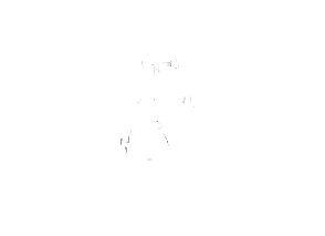 Nc1c([N+](=O)[O-])sc2ncccc12